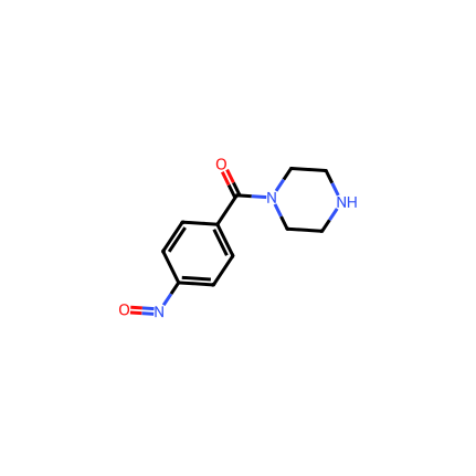 O=Nc1ccc(C(=O)N2CCNCC2)cc1